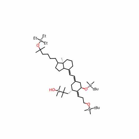 CC[Si](CC)(CC)OC(C)(C)CCCCC1CCC2/C(=C/C=C3\C[C@@H](CC(C)(C)[Si](C)(C)O)/C(=C/CCO[Si](C)(C)C(C)(C)C)[C@H](O[Si](C)(C)C(C)(C)C)C3)CCC[C@]12C